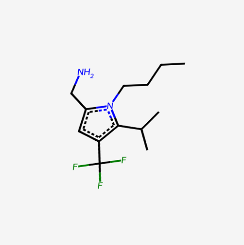 CCCCn1c(CN)cc(C(F)(F)F)c1C(C)C